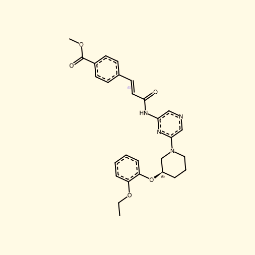 CCOc1ccccc1O[C@@H]1CCCN(c2cncc(NC(=O)/C=C/c3ccc(C(=O)OC)cc3)n2)C1